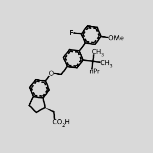 CCCC(C)(C)c1cc(COc2ccc3c(c2)[C@@H](CC(=O)O)CC3)ccc1-c1cc(OC)ccc1F